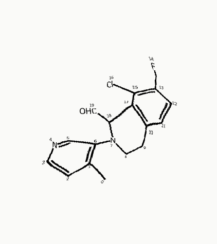 Cc1ccncc1N1CCc2ccc(F)c(Cl)c2C1C=O